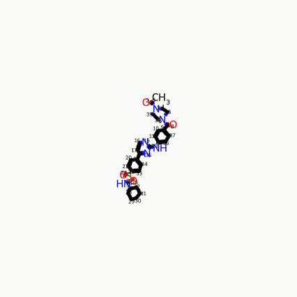 CC(=O)N1CCN(C(=O)c2ccc(Nc3nccc(-c4ccc(S(=O)(=O)NC5CCCCC5)cc4)n3)cc2)CC1